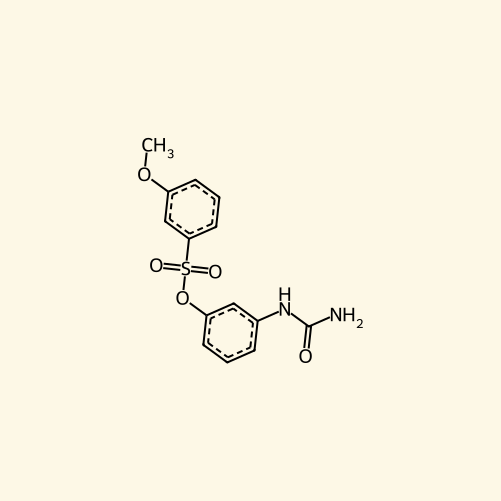 COc1cccc(S(=O)(=O)Oc2cccc(NC(N)=O)c2)c1